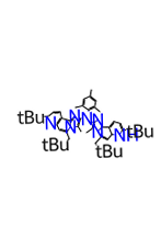 Cc1cc(C)c(N(c2nc3n(c2C)C(CC(C)(C)C)=CC2NC(C(C)(C)C)=CC=C32)c2nc3c4ccc(C(C)(C)C)nc4cc(CC(C)(C)C)n3c2C)c(C)c1